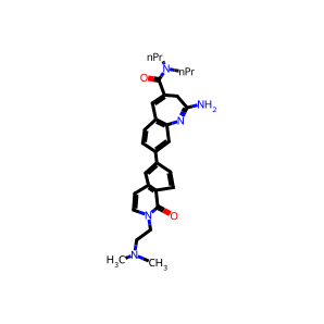 CCCN(CCC)C(=O)C1=Cc2ccc(-c3ccc4c(=O)n(CCN(C)C)ccc4c3)cc2N=C(N)C1